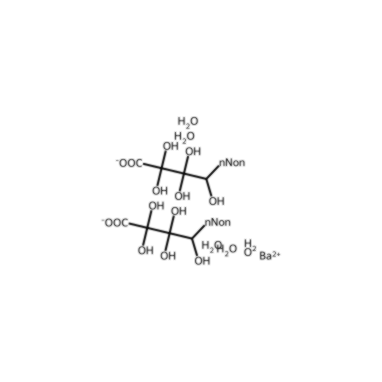 CCCCCCCCCC(O)C(O)(O)C(O)(O)C(=O)[O-].CCCCCCCCCC(O)C(O)(O)C(O)(O)C(=O)[O-].O.O.O.O.O.[Ba+2]